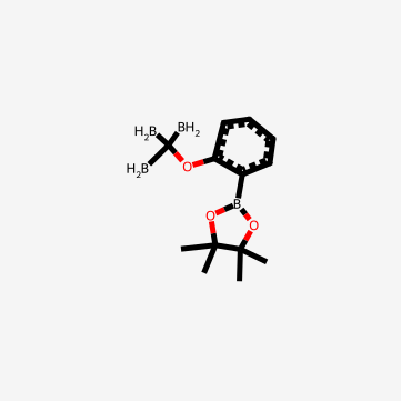 BC(B)(B)Oc1ccccc1B1OC(C)(C)C(C)(C)O1